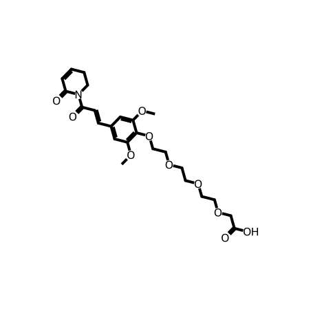 COc1cc(/C=C/C(=O)N2CCC=CC2=O)cc(OC)c1OCCOCCOCCOCC(=O)O